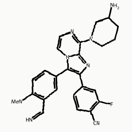 CNc1ccc(-c2c(-c3ccc(C#N)c(F)c3)nc3c(N4CCCC(N)C4)nccn23)cc1C=N